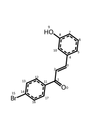 O=C(C=Cc1cccc(O)c1)c1ccc(Br)cc1